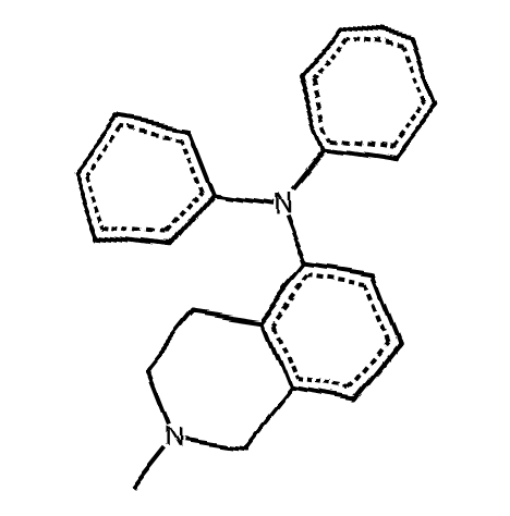 CN1CCc2c(cccc2N(c2ccccc2)c2ccccc2)C1